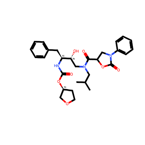 CC(C)CN(C[C@@H](O)[C@H](Cc1ccccc1)NC(=O)O[C@H]1CCOC1)C(=O)C1CN(c2ccccc2)C(=O)O1